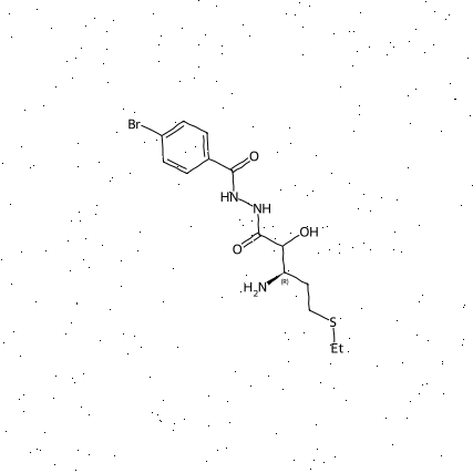 CCSCC[C@@H](N)C(O)C(=O)NNC(=O)c1ccc(Br)cc1